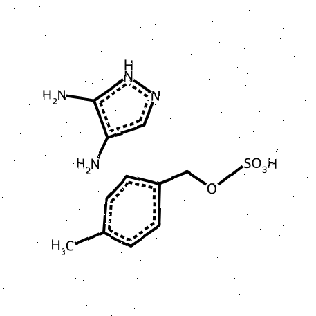 Cc1ccc(COS(=O)(=O)O)cc1.Nc1cn[nH]c1N